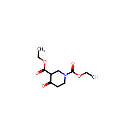 CCOC(=O)C1CN(C(=O)OCC)CCC1=O